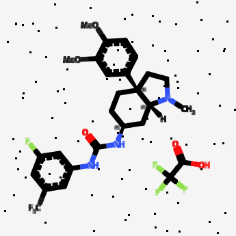 COc1ccc([C@]23CC[C@H](NC(=O)Nc4cc(F)cc(C(F)(F)F)c4)C[C@H]2N(C)CC3)cc1OC.O=C(O)C(F)(F)F